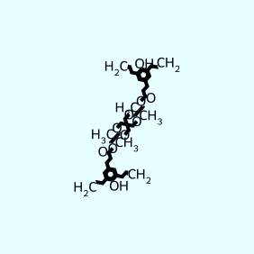 C=CCc1cc(CCC(=O)OCC(C)(C)C2OCC3(CO2)COC(C(C)(C)COC(=O)CCc2cc(CC=C)c(O)c(CC=C)c2)OC3)cc(CC=C)c1O